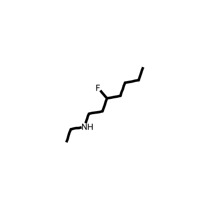 CCCCC(F)CCNCC